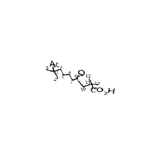 CC(=O)C(C)(C)CCCCC(=O)CC(C)(C)C(=O)O